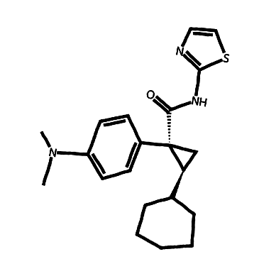 CN(C)c1ccc([C@@]2(C(=O)Nc3nccs3)C[C@H]2C2CCCCC2)cc1